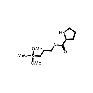 CO[Si](CCCNC(=O)C1CCCN1)(OC)OC